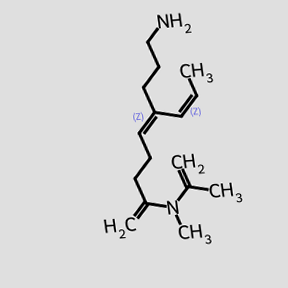 C=C(C)N(C)C(=C)CC/C=C(\C=C/C)CCCN